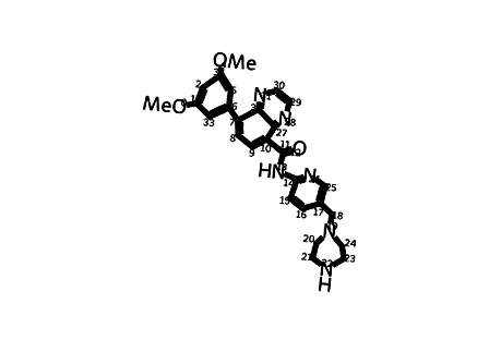 COc1cc(OC)cc(-c2ccc(C(=O)Nc3ccc(CN4CCNCC4)cn3)c3nccnc23)c1